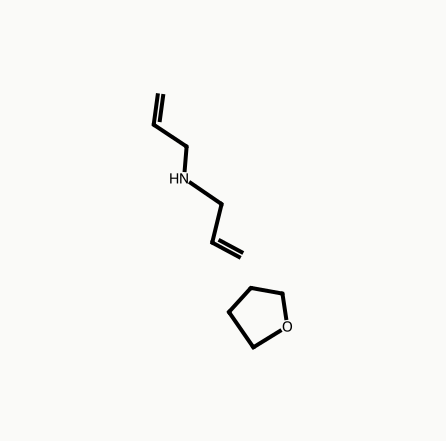 C1CCOC1.C=CCNCC=C